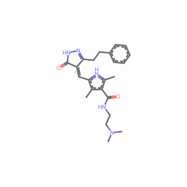 Cc1[nH]c(/C=C2/C(=O)NN=C2CCc2ccccc2)c(C)c1C(=O)NCCN(C)C